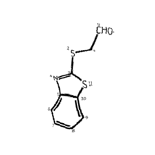 O=[C]CSc1nc2ccccc2s1